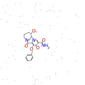 CO[C@@H]1CCCN2CC1n1cc(C(N)=O)c(=O)c(OCc3ccccc3)c1C2=O